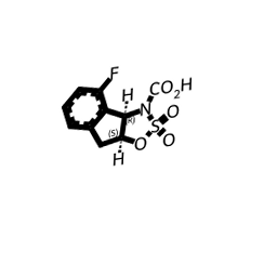 O=C(O)N1[C@@H]2c3c(F)cccc3C[C@@H]2OS1(=O)=O